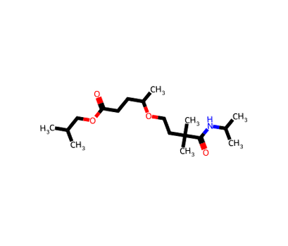 CC(C)COC(=O)CCC(C)OCCC(C)(C)C(=O)NC(C)C